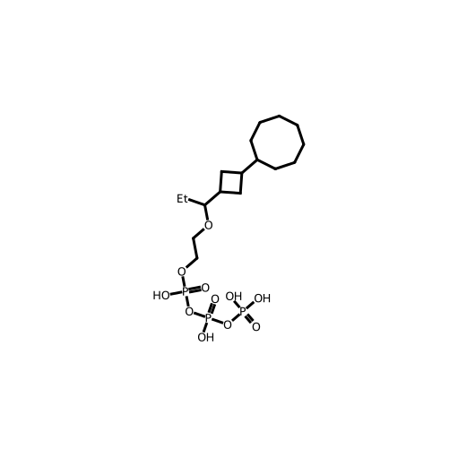 CCC(OCCOP(=O)(O)OP(=O)(O)OP(=O)(O)O)C1CC(C2CCCCCCC2)C1